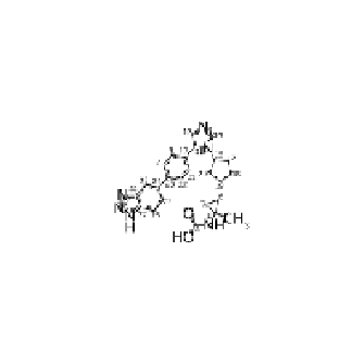 CC1(NC(=O)O)CC1.c1cc(-c2cncn2C2CCCC2)ccc1-c1ccc2[nH]nnc2c1